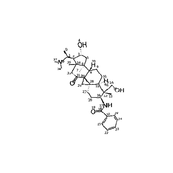 C[C@@H]([C@H]1[C@H](O)C[C@@]2(C)[C@@H]3CC[C@H]4[C@](C)(CO)[C@@H](NC(=O)c5ccccc5)CC[C@@]45CC35C(=O)C[C@]12C)N(C)C